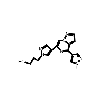 OCCCn1cc(-c2cn3nccc3c(-c3cn[nH]c3)n2)cn1